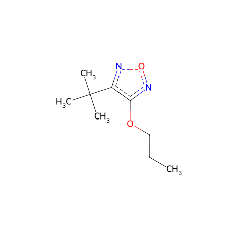 CCCOc1nonc1C(C)(C)C